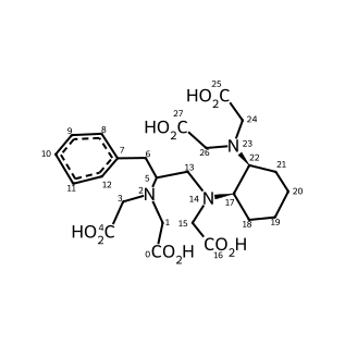 O=C(O)CN(CC(=O)O)C(Cc1ccccc1)CN(CC(=O)O)[C@@H]1CCCC[C@@H]1N(CC(=O)O)CC(=O)O